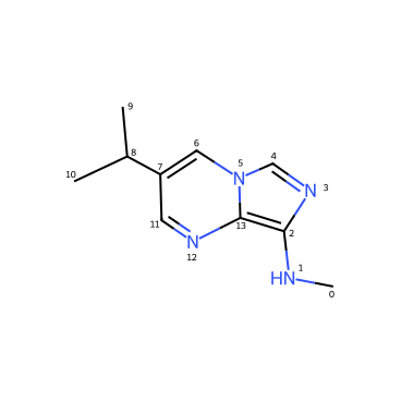 CNc1ncn2cc(C(C)C)cnc12